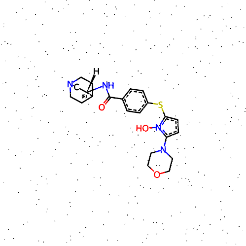 O=C(N[C@H]1CN2CCC1CC2)c1ccc(Sc2ccc(N3CCOCC3)n2O)cc1